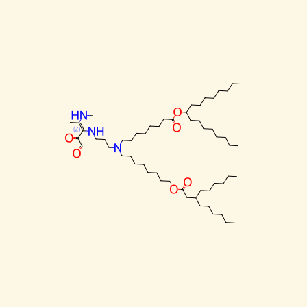 CCCCCCCCC(CCCCCCCC)OC(=O)CCCCCCCN(CCCCCCCCOC(=O)CC(CCCCCC)CCCCCC)CCCN/C(C(=O)C=O)=C(/C)NC